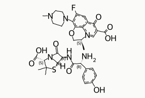 CC1(C)S[C@@H]2[C@H](NC(=O)[C@H](N)c3ccc(O)cc3)C(=O)N2[C@H]1C(=O)O.C[C@H]1COc2c(N3CCN(C)CC3)c(F)cc3c(=O)c(C(=O)O)cn1c23